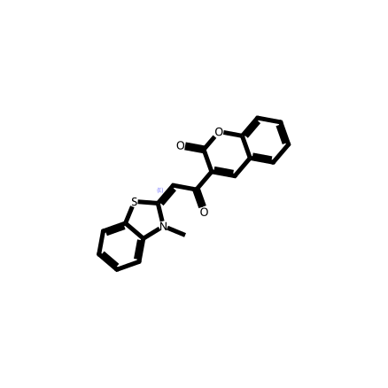 CN1/C(=C\C(=O)c2cc3ccccc3oc2=O)Sc2ccccc21